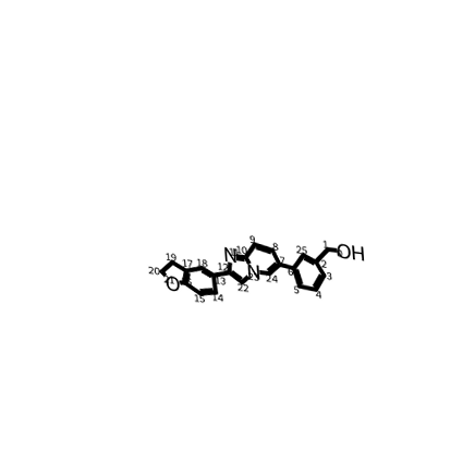 OCc1cccc(-c2ccc3nc(-c4ccc5c(c4)CCO5)cn3c2)c1